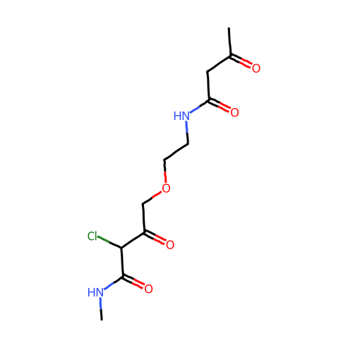 CNC(=O)C(Cl)C(=O)COCCNC(=O)CC(C)=O